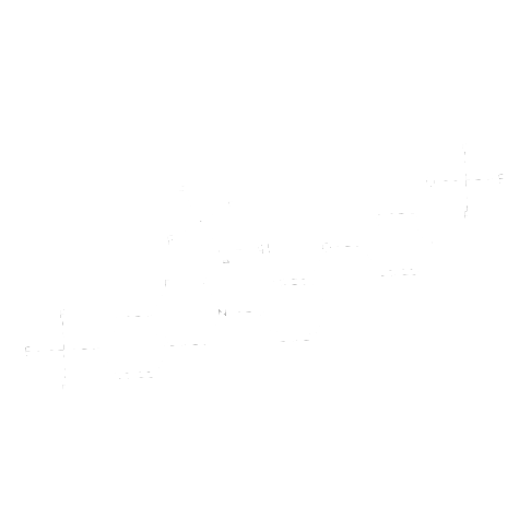 O[C@H](CN(Cc1ccc(C(F)(F)F)cc1F)c1cccc(Oc2cccc(OC(F)(F)F)c2)c1)C(F)(F)F